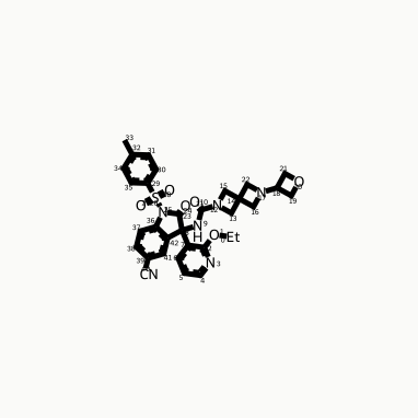 CCOc1ncccc1C1(NC(=O)N2CC3(C2)CN(C2COC2)C3)C(=O)N(S(=O)(=O)c2ccc(C)cc2)c2ccc(C#N)cc21